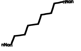 [CH2]CCCCCCCCCCCCCCCCCCCCCCC[CH2]